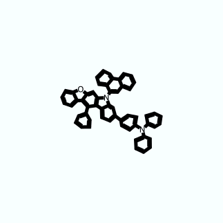 c1ccc(-c2c3c(cc4c2c2ccc(-c5ccc(N(c6ccccc6)c6ccccc6)cc5)cc2n4-c2cc4ccccc4c4ccccc24)oc2ccccc23)cc1